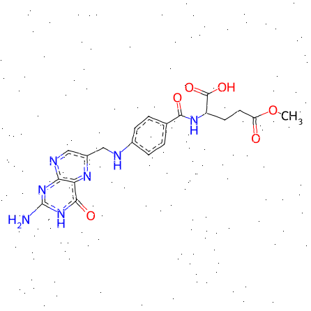 COC(=O)CCC(NC(=O)c1ccc(NCc2cnc3nc(N)[nH]c(=O)c3n2)cc1)C(=O)O